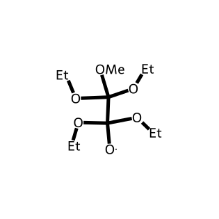 CCOC([O])(OCC)C(OC)(OCC)OCC